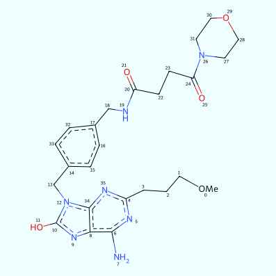 COCCCc1nc(N)c2nc(O)n(Cc3ccc(CNC(=O)CCC(=O)N4CCOCC4)cc3)c2n1